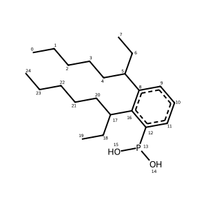 CCCCCC(CC)c1cccc(P(O)O)c1C(CC)CCCCC